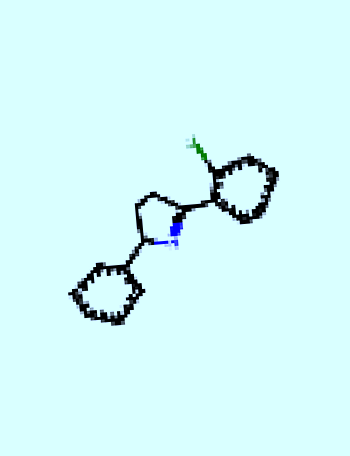 Clc1ccccc1C1=NC(c2ccccc2)CC1